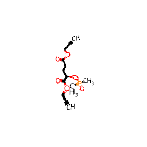 C#CCOC(=O)CCC(OP(C)(C)=O)C(=O)OCC#C